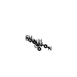 COC1CCN(c2ccc(NC(=O)[C@@H](NCCc3ccc(C#N)cc3)c3ccccc3)nc2)CC1